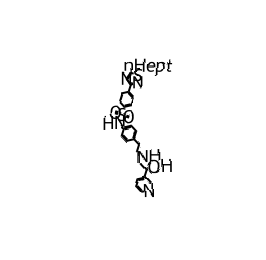 CCCCCCCc1nc(-c2ccc(S(=O)(=O)Nc3ccc(CCNCC(O)c4cccnc4)cc3)cc2)ns1